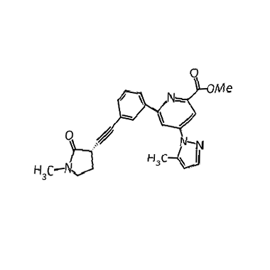 COC(=O)c1cc(-n2nccc2C)cc(-c2cccc(C#C[C@@H]3CCN(C)C3=O)c2)n1